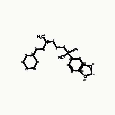 CC(C)C(C#N)(CCCN(C)CCC1CCCCC1)c1ccc2c(c1)OCO2